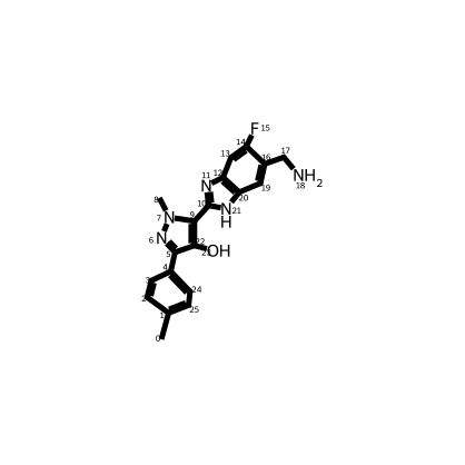 Cc1ccc(-c2nn(C)c(-c3nc4cc(F)c(CN)cc4[nH]3)c2O)cc1